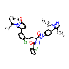 Cc1cnn(C)c1-c1ccc(NC(=O)[C@H](CCc2cc(-c3ccc(=O)n(C(C)C)c3)ccc2Cl)NC(=O)C2(F)CCC2)cc1